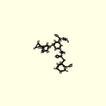 N[S+]([O-])c1cc(NC(=O)Cc2ccccc2Cl)cc(-c2cnn(C3CC3)c2)c1